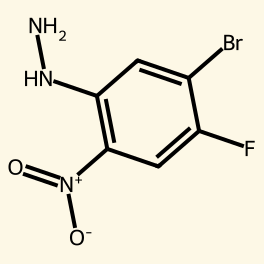 NNc1cc(Br)c(F)cc1[N+](=O)[O-]